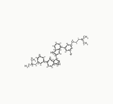 CN(C)CCOc1cc(F)cc(-c2cccc3[nH]c(-c4n[nH]c5ccc(-c6cncc(CN(C)C)c6)nc45)cc23)c1